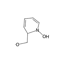 [O]CC1C=CC=CN1O